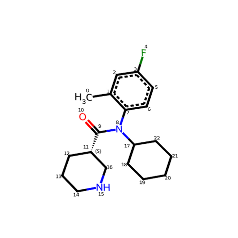 Cc1cc(F)ccc1N(C(=O)[C@H]1CCCNC1)C1CCCCC1